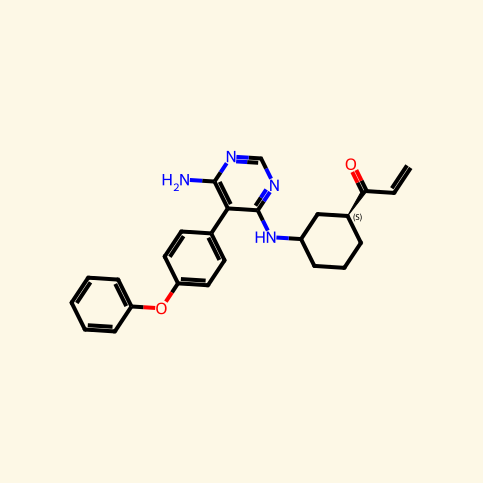 C=CC(=O)[C@H]1CCCC(Nc2ncnc(N)c2-c2ccc(Oc3ccccc3)cc2)C1